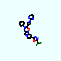 O=C(C1CN(c2ncccn2)C1)N(Cc1cn2ccc(-c3nnc(C(F)F)o3)cc2n1)c1ccccc1